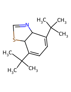 CC(C)(C)C1=CC=C(C(C)(C)C)C2SC=NC12